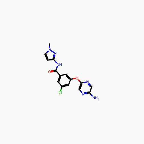 Cn1ccc(NC(=O)c2cc(Cl)cc(Oc3cnc(N)cn3)c2)n1